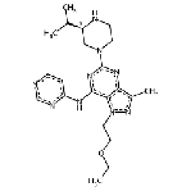 CCOCCn1nc(C)c2nc(N3CCN[C@H](C(C)C)C3)nc(Nc3ccncn3)c21